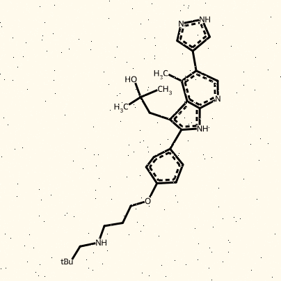 Cc1c(-c2cn[nH]c2)cnc2[nH]c(-c3ccc(OCCCNCC(C)(C)C)cc3)c(CC(C)(C)O)c12